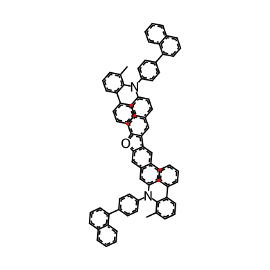 Cc1cccc(-c2ccccc2)c1N(c1ccc(-c2cccc3ccccc23)cc1)c1ccc2cc3c(cc2c1)oc1cc2cc(N(c4ccc(-c5cccc6ccccc56)cc4)c4c(C)cccc4-c4ccccc4)ccc2cc13